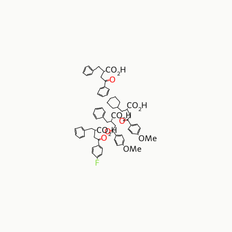 COc1ccc(C(=O)CC(CC2CCCCC2)C(=O)O)cc1.COc1ccc(C(=O)CC(Cc2ccccc2)C(=O)O)cc1.O=C(CC(Cc1ccccc1)C(=O)O)c1ccc(F)cc1.O=C(CC(Cc1ccccc1)C(=O)O)c1ccccc1